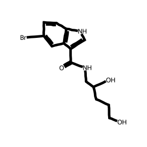 O=C(NCC(O)CCCO)c1c[nH]c2ccc(Br)cc12